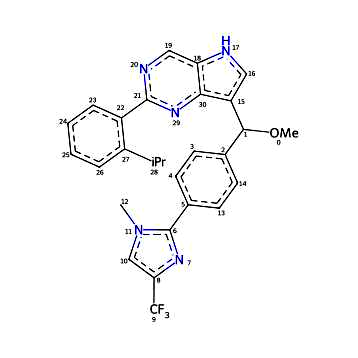 COC(c1ccc(-c2nc(C(F)(F)F)cn2C)cc1)c1c[nH]c2cnc(-c3ccccc3C(C)C)nc12